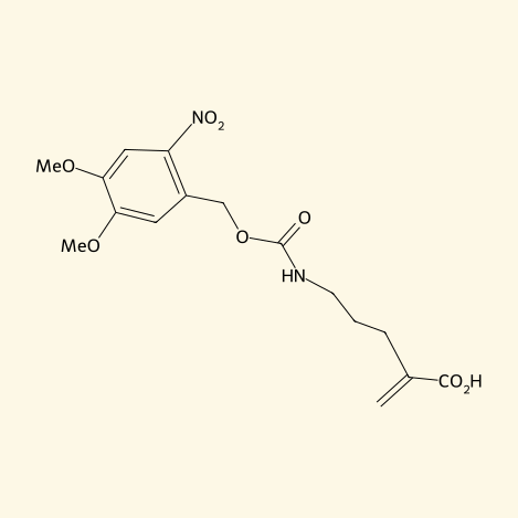 C=C(CCCNC(=O)OCc1cc(OC)c(OC)cc1[N+](=O)[O-])C(=O)O